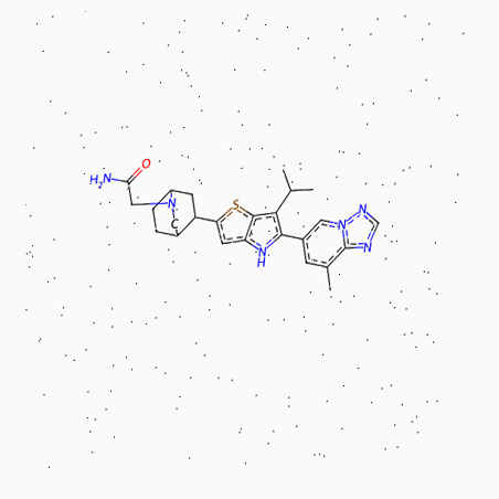 Cc1cc(-c2[nH]c3cc(C4CC5CCC4CN5CC(N)=O)sc3c2C(C)C)cn2ncnc12